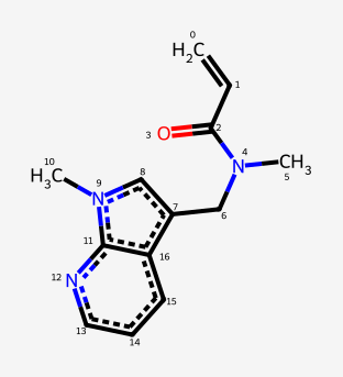 C=CC(=O)N(C)Cc1cn(C)c2ncccc12